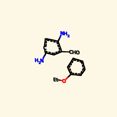 CCOc1ccccc1.Nc1ccc(N)c(C=O)c1